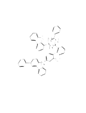 c1ccc(-c2ccc3c(c2)c2ccccc2n3-c2ccc3c(c2)oc2cccc(-c4nc(-c5ccccc5)nc(-c5cccc6c5sc5ccccc56)n4)c23)cc1